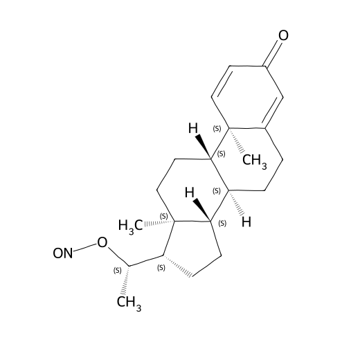 C[C@H](ON=O)[C@H]1CC[C@H]2[C@@H]3CCC4=CC(=O)C=C[C@]4(C)[C@H]3CC[C@]12C